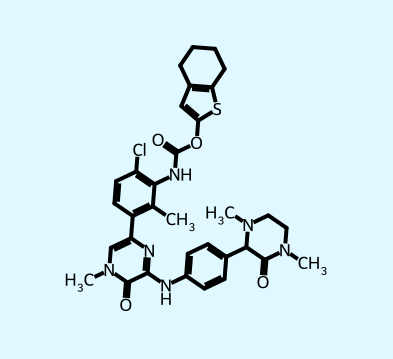 Cc1c(-c2cn(C)c(=O)c(Nc3ccc(C4C(=O)N(C)CCN4C)cc3)n2)ccc(Cl)c1NC(=O)Oc1cc2c(s1)CCCC2